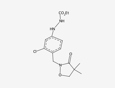 CCOC(=O)NNc1ccc(CN2OCC(C)(C)C2=O)c(Cl)c1